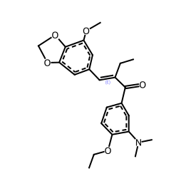 CCOc1ccc(C(=O)/C(=C/c2cc(OC)c3c(c2)OCO3)CC)cc1N(C)C